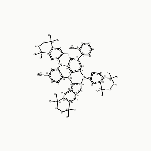 Cc1cc2c(cc1N1c3cc(C(C)(C)C)ccc3B3c4c1cc(-c1ccccc1C(C)(C)C)cc4N(c1ccc4c(c1)C(C)(C)CCC4(C)C)c1oc4cc5c(cc4c13)C(C)(C)CCC5(C)C)C(C)(C)CCC2(C)C